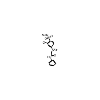 CNS(=O)(=O)c1ccc([S+]([O-])CC(=O)Nc2ccccc2)cc1Cl